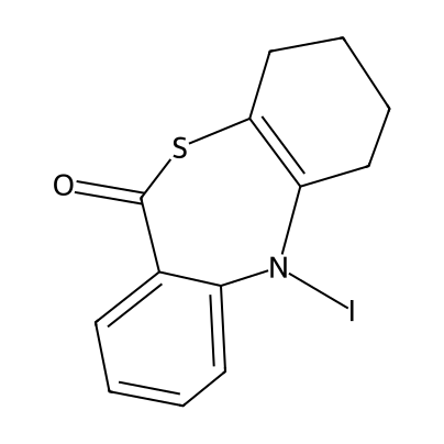 O=C1SC2=C(CCCC2)N(I)c2ccccc21